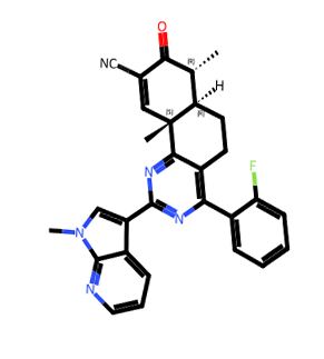 C[C@H]1C(=O)C(C#N)=C[C@@]2(C)c3nc(-c4cn(C)c5ncccc45)nc(-c4ccccc4F)c3CC[C@H]12